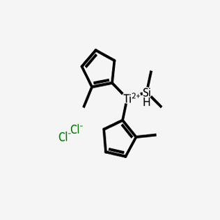 CC1=[C]([Ti+2]([C]2=C(C)C=CC2)[SiH](C)C)CC=C1.[Cl-].[Cl-]